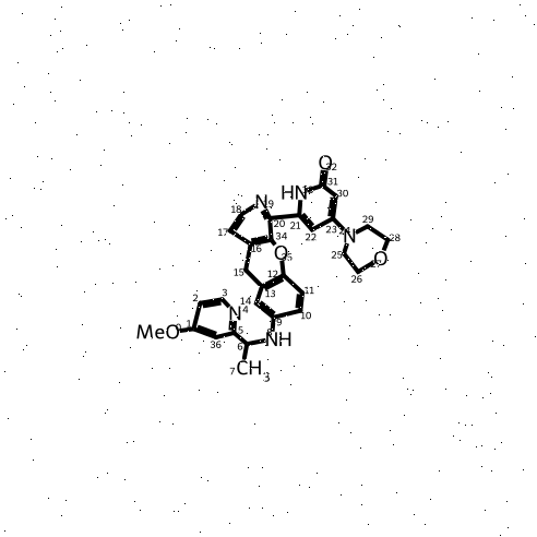 COc1ccnc(C(C)Nc2ccc3c(c2)Cc2ccnc(-c4cc(N5CCOCC5)cc(=O)[nH]4)c2O3)c1